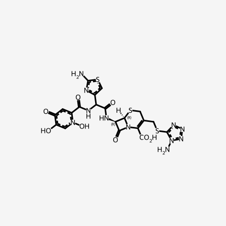 Nc1nc(C(NC(=O)c2cc(=O)c(O)cn2O)C(=O)N[C@@H]2C(=O)N3C(C(=O)O)=C(CSc4nnnn4N)CS[C@H]23)cs1